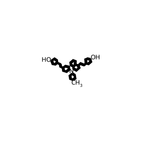 Cc1ccc(N(c2ccc(C=Cc3ccc(O)cc3)cc2)c2ccc(C=Cc3ccc(O)cc3)c3ccccc23)cc1